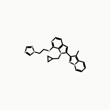 Cc1c(-c2cc3ccnc(OCCn4cncn4)c3n2CC2CC2)nn2c[c]ccc12